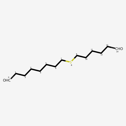 O=CCCCCCCCSCCCCCC=O